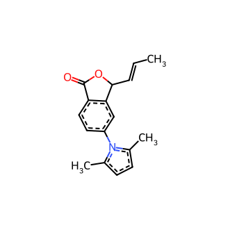 CC=CC1OC(=O)c2ccc(-n3c(C)ccc3C)cc21